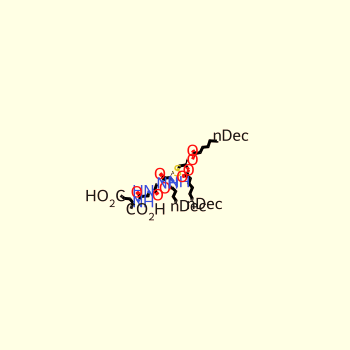 CCCCCCCCCCCCCCCC(=O)OC[C@H](CSC[C@H](NC(=O)CCCCCCCCCCCCC)C(=O)NCC(=O)NCC(=O)NC(CCC(=O)O)C(=O)O)OC(=O)CCCCCCCCCCCCCCC